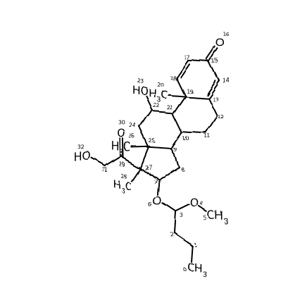 CCCC(OC)OC1CC2C3CCC4=CC(=O)C=CC4(C)C3C(O)CC2(C)C1(C)C(=O)CO